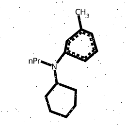 CCCN(c1cccc(C)c1)C1CCCCC1